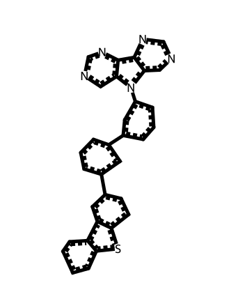 c1cc(-c2cccc(-n3c4cncnc4c4ncncc43)c2)cc(-c2ccc3sc4ccccc4c3c2)c1